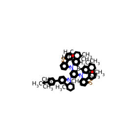 CC(C)(C)c1ccc(-c2ccc3c(c2)C2(C)CCCCC2(C)N3c2cc3c4c(c2)N(c2cccc5sc6ccccc6c25)c2cc5c(cc2B4c2cc4c(cc2N3c2cccc3sc6ccccc6c23)C(C)(C)CCC4(C)C)C(C)(C)CCC5(C)C)cc1